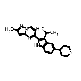 Cc1cc2nc(-c3[nH]c4ccc(C5CCNCC5)cc4c3C(C)C)ccn2n1